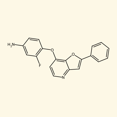 Nc1ccc(Oc2ccnc3cc(-c4ccccc4)oc23)c(F)c1